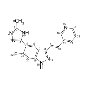 Cc1nnc(-c2cc3c(C=Cc4cccnc4)n[nH]c3cc2F)[nH]1